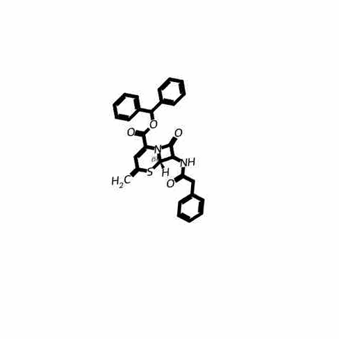 C=C1C=C(C(=O)OC(c2ccccc2)c2ccccc2)N2C(=O)C(NC(=O)Cc3ccccc3)[C@@H]2S1